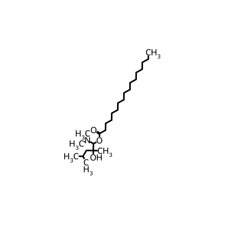 CCCCCCCCCCCCCCCCC(=O)OC(N(C)C)C(C)(O)CC(C)C